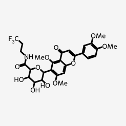 COc1ccc(-c2cc(=O)c3c(OC)c(C4OC(C(=O)NCCC(F)(F)F)C(O)C(O)C4O)c(OC)cc3o2)cc1OC